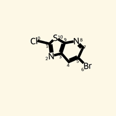 Clc1nc2cc(Br)cnc2s1